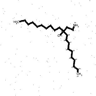 CCCCCCCCCCC(Cl)(CCN)CCCCCCCCCC